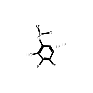 [Li+].[Li+].[O-]B([O-])Oc1ccc(F)c(F)c1O